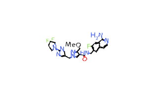 COCc1nn(Cc2cnc(N3CCC(F)(F)C3)nc2)cc1C(=O)NCc1cc2ccnc(N)c2cc1F